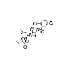 CC(C)CC(NC(=O)CNC(=O)c1cc(Cl)ccc1Cl)B1OC(=O)[C@H](C(C)C)O1